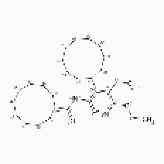 CCOc1ncc(NC(=O)C2CCCCCCCCC2)c(C2CCCCCCCCC2)c1CC